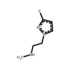 CNCCn1ccc(F)n1